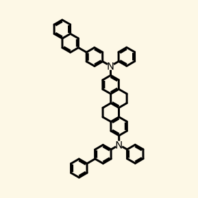 c1ccc(-c2ccc(N(c3ccccc3)c3ccc4c(c3)CCC3=C4CCc4cc(N(c5ccccc5)c5ccc(-c6ccc7ccccc7c6)cc5)ccc43)cc2)cc1